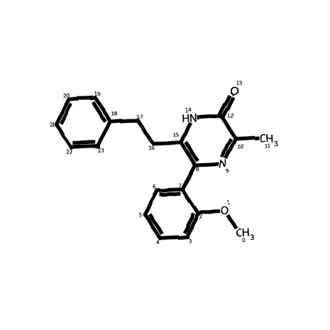 COc1ccccc1-c1nc(C)c(=O)[nH]c1CCc1ccccc1